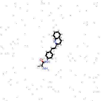 C[C@H](N)C(=O)Nc1ccc(C=Cc2ccc3ccccc3n2)cc1